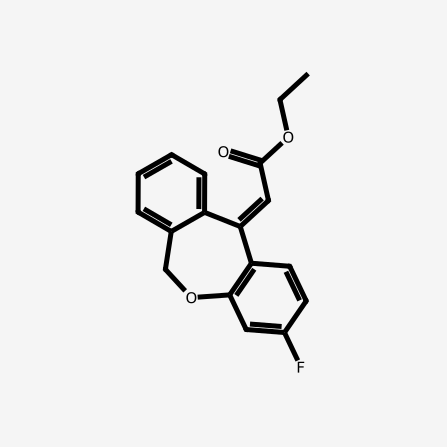 CCOC(=O)/C=C1\c2ccccc2COc2cc(F)ccc21